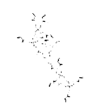 C=CC(=O)OCC(COCC(COC(=O)C=C)(COC(=O)C=C)COC(=O)CCN(CCC[Si](C)(OCC)OCC)CCC(=O)OCC(COCC(COC(=O)C=C)(COC(=O)C=C)COC(=O)C=C)(COC(=O)C=C)COC(=O)C=C)(COC(=O)C=C)COC(=O)C=C